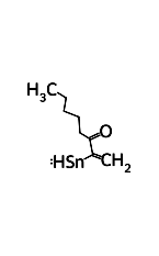 C=[C]([SnH])C(=O)CCCCC